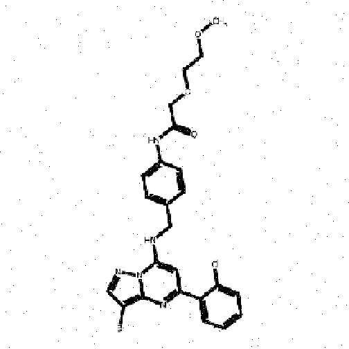 COCCOCC(=O)Nc1ccc(CNc2cc(-c3ccccc3Cl)nc3c(Br)cnn23)cc1